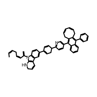 C=C(/C=C\C/C=C\C)n1c2c(c3cc(C4=CCC(c5ccc(-c6c7c(c(-c8ccccc8)c8ccccc68)C/C=C\C=C/C7)cn5)C=C4)ccc31)C=CCN2